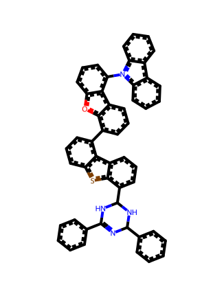 c1ccc(C2=NC(c3ccccc3)NC(c3cccc4c3sc3cccc(-c5cccc6c5oc5cccc(-n7c8ccccc8c8ccccc87)c56)c34)N2)cc1